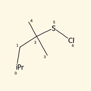 CC(C)CC(C)(C)SCl